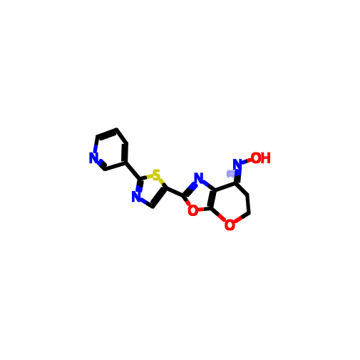 O/N=C1\CCOc2oc(-c3cnc(-c4cccnc4)s3)nc21